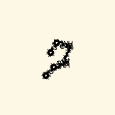 O=C(Cc1cccc(OCc2ccccc2)c1)Nc1nnc(CCCCc2nnc(NC(=O)Cc3cccc(OCc4ccccc4)c3)s2)s1